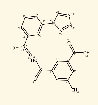 Cc1cc(C(=O)O)cc(C(=O)O)c1.O=[N+]([O-])c1cccc(-n2cnnn2)c1